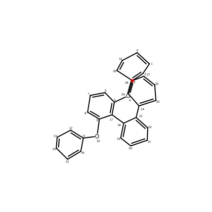 c1ccc(Oc2cccc(Oc3ccccc3)c2-c2ccccc2-c2ccccc2)cc1